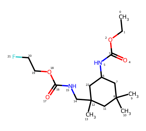 CCOC(=O)NC1CC(C)(C)CC(C)(CNC(=O)OCCF)C1